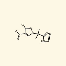 CC(C)(c1nnc[nH]1)n1cc([N+](=O)[O-])c(Cl)n1